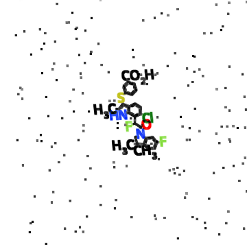 Cc1[nH]c2c(C(F)C(=O)N3CC(C)(C)c4ccc(F)cc43)c(Cl)ccc2c1Sc1cccc(C(=O)O)c1